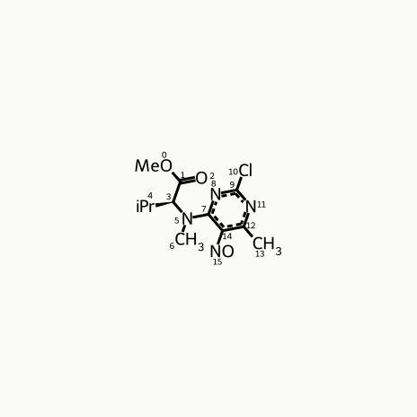 COC(=O)[C@H](C(C)C)N(C)c1nc(Cl)nc(C)c1N=O